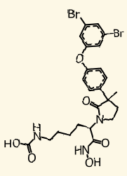 CC1(c2ccc(Oc3cc(Br)cc(Br)c3)cc2)CCN([C@H](CCCCNC(=O)O)C(=O)NO)C1=O